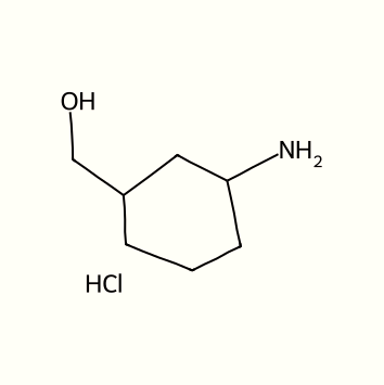 Cl.NC1CCCC(CO)C1